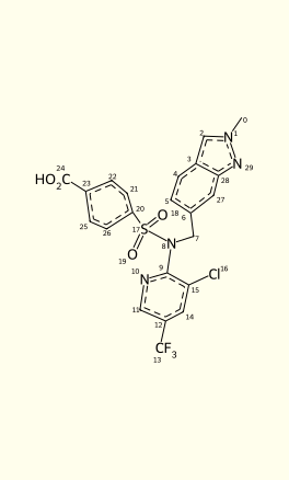 Cn1cc2ccc(CN(c3ncc(C(F)(F)F)cc3Cl)S(=O)(=O)c3ccc(C(=O)O)cc3)cc2n1